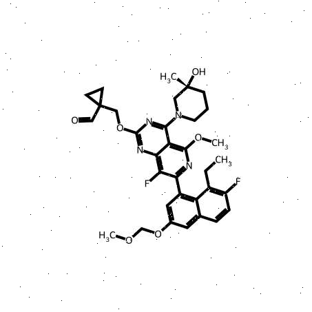 CCc1c(F)ccc2cc(OCOC)cc(-c3nc(OC)c4c(N5CCC[C@@](C)(O)C5)nc(OCC5(C=O)CC5)nc4c3F)c12